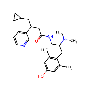 Cc1cc(O)cc(C)c1CC(CNC(=O)CC(CC1CC1)c1cccnc1)N(C)C